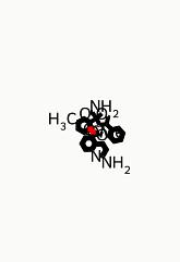 COc1ccc(C)cc1C1(C(N)=O)OCC(c2ccccc2)C1S(=O)(=O)c1cccc2nc(N)ccc12